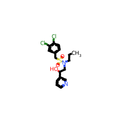 CCCN(CC(O)c1cccnc1)S(=O)(=O)Cc1ccc(Cl)c(Cl)c1